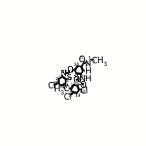 CCNC(=O)c1cc(NS(=O)(=O)c2cc(C)c(Cl)cc2Cl)cc(Oc2nc3cc(Cl)ccc3s2)c1